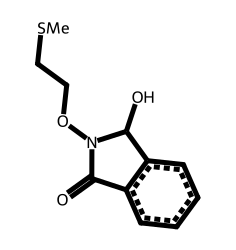 CSCCON1C(=O)c2ccccc2C1O